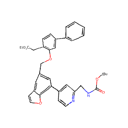 CCOC(=O)Cc1ccc(-c2ccccc2)cc1OCc1cc(-c2ccnc(CNC(=O)OC(C)(C)C)c2)c2occc2c1